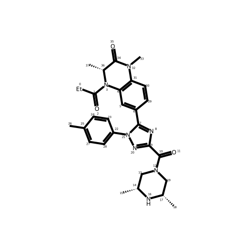 CCC(=O)N1c2cc(-c3nc(C(=O)N4C[C@@H](C)N[C@@H](C)C4)nn3-c3ccc(C)cc3)ccc2N(C)C(=O)[C@H]1C